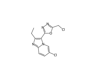 CCc1nc2ccc(Cl)cn2c1-c1nnc(CCl)o1